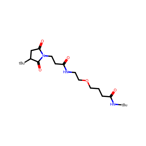 CC(C)(C)NC(=O)CCCOCCNC(=O)CCN1C(=O)CC(C(C)(C)C)C1=O